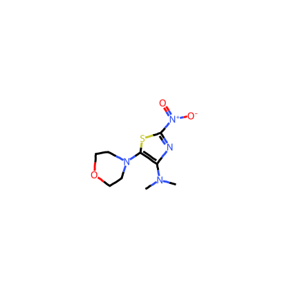 CN(C)c1nc([N+](=O)[O-])sc1N1CCOCC1